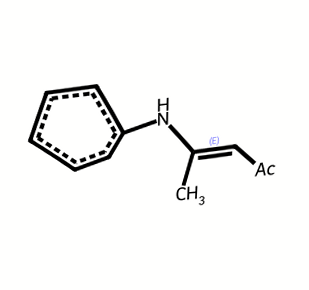 CC(=O)/C=C(\C)Nc1ccccc1